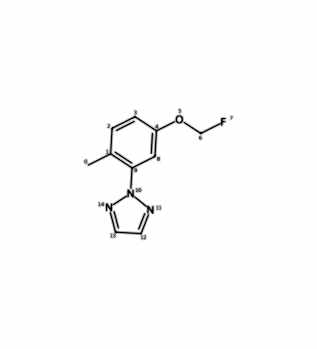 Cc1ccc(OCF)cc1-n1nccn1